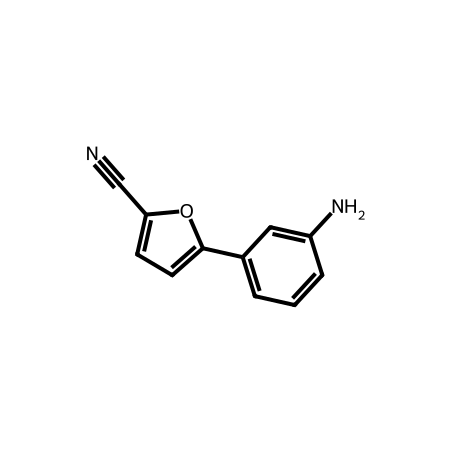 N#Cc1ccc(-c2cccc(N)c2)o1